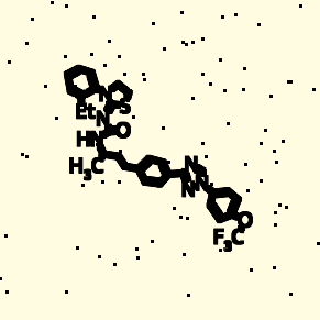 CCc1ccccc1N1CCS/C1=N\C(=O)NC(C)CCc1ccc(-c2ncn(-c3ccc(OC(F)(F)F)cc3)n2)cc1